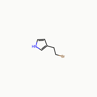 BrCCc1cc[nH]c1